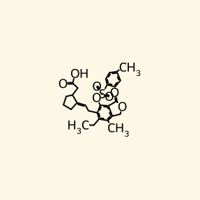 CCc1c(C)c2c(c(OS(=O)(=O)c3ccc(C)cc3)c1C/C=C1\CCCC1CC(=O)O)C(=O)OC2